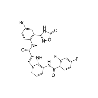 O=C(Nc1ccc(Br)cc1-c1noc(=O)[nH]1)c1cc2cccc(NC(=O)c3ccc(F)cc3F)c2[nH]1